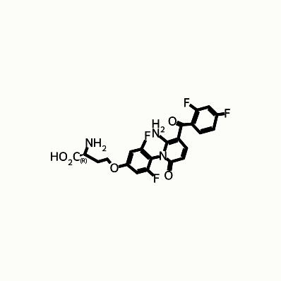 Nc1c(C(=O)c2ccc(F)cc2F)ccc(=O)n1-c1c(F)cc(OCC[C@@H](N)C(=O)O)cc1F